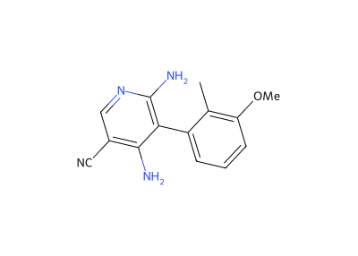 COc1cccc(-c2c(N)ncc(C#N)c2N)c1C